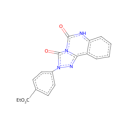 CCOC(=O)c1ccc(-n2nc3c4ccccc4[nH]c(=O)n3c2=O)cc1